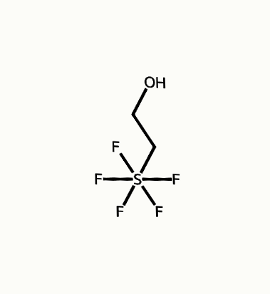 OCCS(F)(F)(F)(F)F